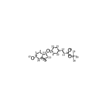 COc1ccc2c(Oc3ccc(C=CC(=O)OC(C)(C)C)cc3)csc2c1